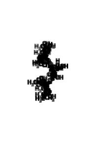 CC(C)(C)c1cc(C(C)(CCCOOCC(O)CC(CC(O)COOCCCC(C)(c2ccc(O)c(C(C)(C)C)c2)c2ccc(O)c(C(C)(C)C)c2)(OCC(O)CO)C2CO2)c2ccc(O)c(C(C)(C)C)c2)ccc1O